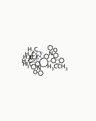 C=C(/C=C\C(=C)c1ccc(N2c3ccccc3Oc3ccccc32)cccc(-c2ccc3c(c2)C(C)(C)c2ccccc2-3)c2cc(N3c4ccccc4Oc4ccccc43)ccc12)C(=C)/C=C1\C(=C)C(C)(C)c2ccccc21